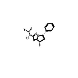 [O-][S@+](c1nc2n(n1)[C@H](c1ccccc1)C[C@@H]2F)C(F)F